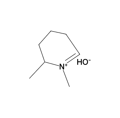 CC1CCCC=[N+]1C.[OH-]